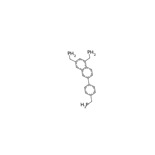 PCc1ccc(-c2ccc3c(CP)cc(CP)cc3c2)cc1